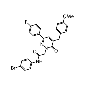 COc1ccc(Cc2cc(-c3ccc(F)cc3)nn(CC(=O)Nc3ccc(Br)cc3)c2=O)cc1